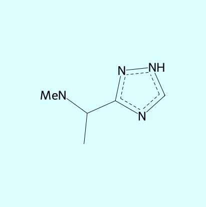 CNC(C)c1nc[nH]n1